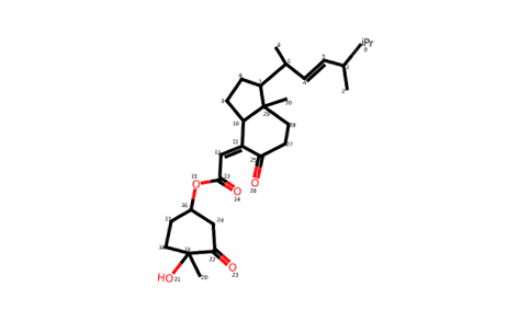 CC(C)C(C)/C=C/C(C)C1CCC2/C(=C/C(=O)OC3CCC(C)(O)C(=O)C3)C(=O)CCC21C